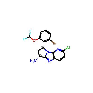 N[C@@H]1C[C@H](c2c(Br)cccc2OC(F)F)n2c1nc1ccc(Cl)nc12